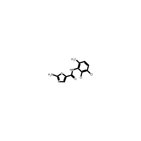 Cc1ccc(Cl)c(Cl)c1NC(=O)c1cnc(N)s1